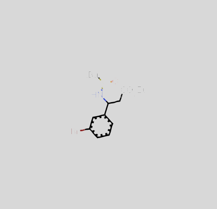 CCOC(=O)CC(N[S+]([O-])C(C)(C)C)c1cccc(Br)c1